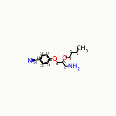 CCCCOC(CN)COc1ccc(C#N)cc1